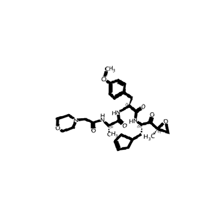 COc1ccc(C[C@H](NC(=O)[C@H](C)NC(=O)CN2CCOCC2)C(=O)N[C@@H](CC2CC=CC2)C(=O)[C@]2(C)CO2)cc1